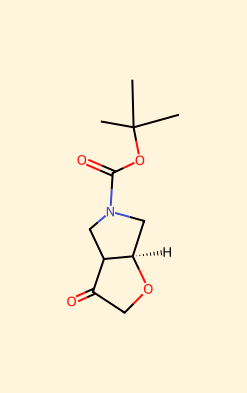 CC(C)(C)OC(=O)N1CC2C(=O)CO[C@@H]2C1